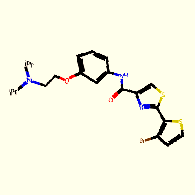 CC(C)N(CCOc1cccc(NC(=O)c2csc(-c3sccc3Br)n2)c1)C(C)C